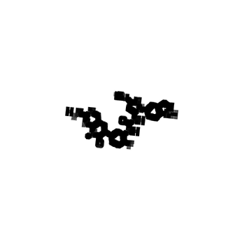 Cn1c(=O)c(-c2ccc(F)c(NC(=O)Nc3cc(C(C)(C)C)nn3-c3ccc4[nH]ncc4c3)c2)cc2cnc(N)nc21